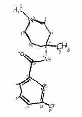 CN1CCC(C)(NC(=O)c2cccc(Cl)c2)CC1